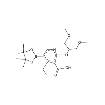 CCc1c(B2OC(C)(C)C(C)(C)O2)cnc(OC(COC)COC)c1C(=O)O